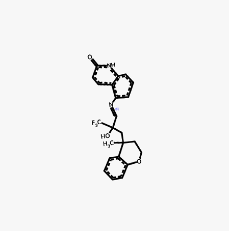 CC1(CC(O)(/C=N/c2cccc3[nH]c(=O)ccc23)C(F)(F)F)CCOc2ccccc21